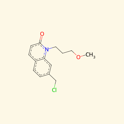 COCCCn1c(=O)ccc2ccc(CCl)cc21